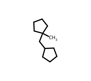 CC1(C[C]2CCCC2)CCCC1